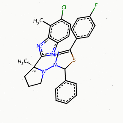 Cc1c(Cl)ccc2[nH]c([C@]3(C)CCCN3N3[C]=C(c4ccc(F)cc4)SC3c3ccccc3)nc12